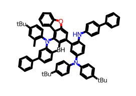 Cc1cc(C(C)(C)C)ccc1N1c2cc(-c3ccccc3)ccc2Bc2c(-c3cc(N(c4ccc(C(C)(C)C)cc4)c4ccc(C(C)(C)C)cc4)ccc3Nc3ccc(-c4ccccc4)cc3)cc3oc4ccccc4c3c21